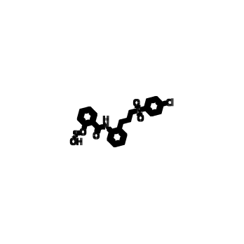 O=C(Nc1ccccc1CCCS(=O)(=O)c1ccc(Cl)cc1)c1ccccc1OSO